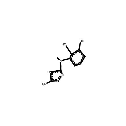 CN(c1nnc(N)[nH]1)c1cccc(O)c1O